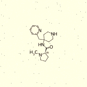 CN1CCC[C@@H]1C(=O)NC1(Cc2ccccn2)CCNCC1